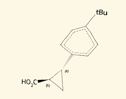 CC(C)(C)c1ccc([C@@H]2C[C@H]2C(=O)O)cc1